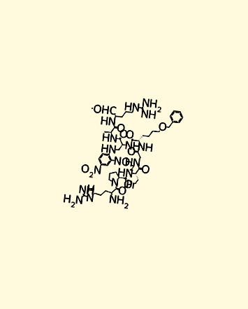 CC(C)C[C@H](NC(=O)[C@@H]1CCCN1C(=O)[C@@H](N)CCCNC(=N)N)C(=O)NCC(=O)N[C@@H](CCCCOCc1ccccc1)C(=O)N[C@@H](CNc1ccc([N+](=O)[O-])cc1[N+](=O)[O-])C(=O)N[C@@H](C)C(=O)N[C@H]([C]=O)CCCNC(=N)N